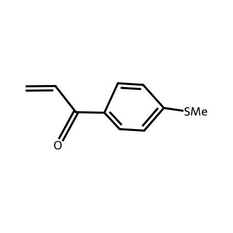 C=CC(=O)c1ccc(SC)cc1